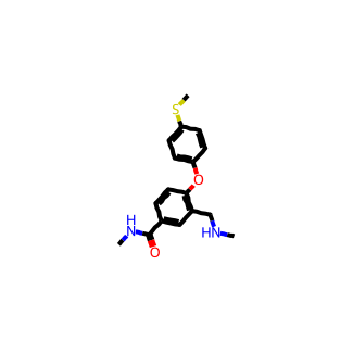 CNCc1cc(C(=O)NC)ccc1Oc1ccc(SC)cc1